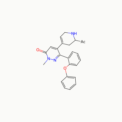 CC(=O)C1CC(c2cc(=O)n(C)nc2-c2ccccc2Oc2ccccc2)=CCN1